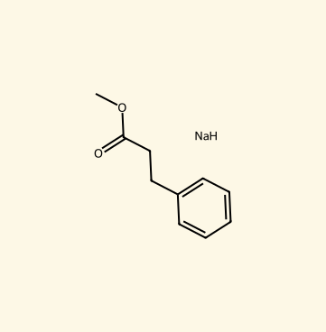 COC(=O)CCc1ccccc1.[NaH]